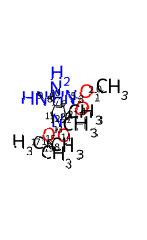 CCOC(=O)NC1=C(C(=N)N)CN(C(=O)OC(C)(C)C)C1(C)C